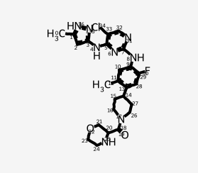 Cc1cc(Nc2nc(Nc3cc(C)c(C4CCN(C(=O)C5COCCN5)CC4)cc3F)ncc2Cl)n[nH]1